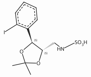 CC1(C)O[C@@H](CNS(=O)(=O)O)[C@H](c2ccccc2I)O1